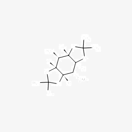 CO[C@@H]1[C@@H]2OC(C)(C)O[C@@H]2[C@@H](C)[C@@H]2OC(C)(C)O[C@@H]12